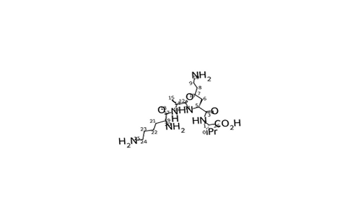 CC(C)[C@H](NC(=O)[C@H](CCCCN)NC(=O)[C@H](C)NC(=O)[C@@H](N)CCCCN)C(=O)O